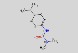 CC(C)C1CC=C(NC(=O)N(C)C)CC1